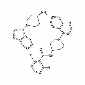 NC1CCN(c2ccnc3ccccc23)CC1.O=C(NC1CCN(c2ccnc3ccccc23)CC1)c1c(F)cccc1I